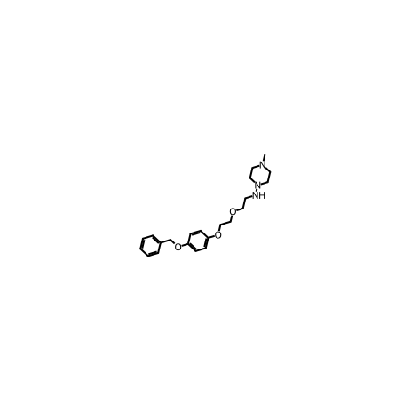 CN1CCN(NCCOCCOc2ccc(OCc3ccccc3)cc2)CC1